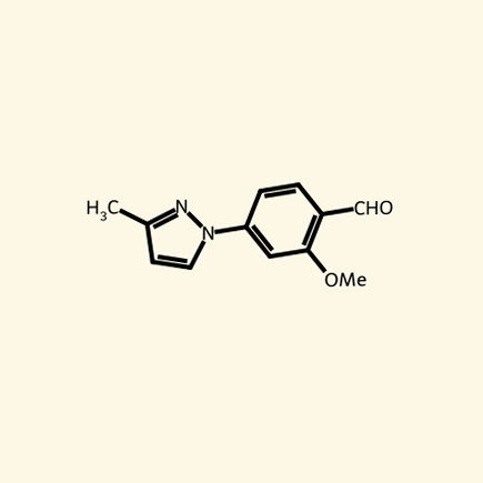 COc1cc(-n2ccc(C)n2)ccc1C=O